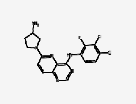 NC1CCN(c2ccc3ncnc(Nc4ccc(Cl)c(Cl)c4F)c3n2)C1